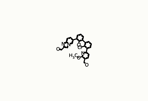 COc1nc(-c2cccc(-c3cccc(-c4ccc5nc(C=O)cn5c4)c3Cl)c2Cl)ccc1C=O